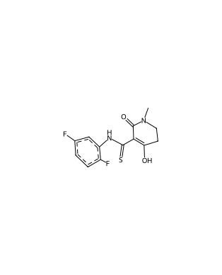 CN1CCC(O)=C(C(=S)Nc2cc(F)ccc2F)C1=O